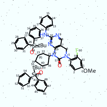 COc1ccc(N2Cc3cnc(Nc4ccccc4)nc3N(C3C[C@@H](O[Si](c4ccccc4)(c4ccccc4)C(C)(C)C)C[C@@H](O[Si](c4ccccc4)(c4ccccc4)C(C)(C)C)C3)C2=O)c(F)c1